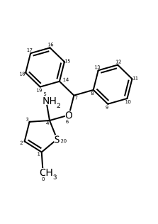 CC1=CCC(N)(OC(c2ccccc2)c2ccccc2)S1